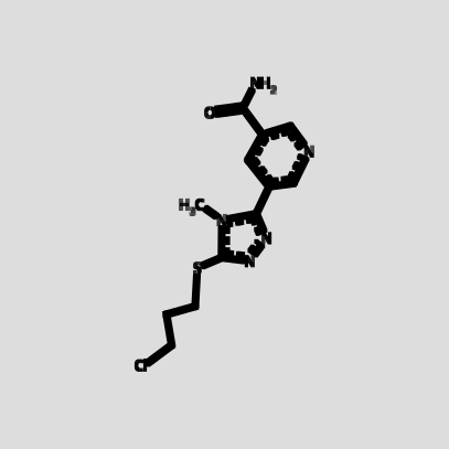 Cn1c(SCCCCl)nnc1-c1cncc(C(N)=O)c1